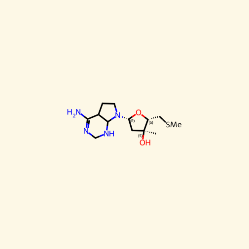 CSC[C@H]1O[C@@H](N2CCC3C(N)=NCNC32)C[C@]1(C)O